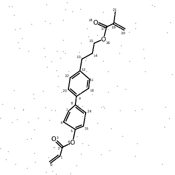 C=CC(=O)Oc1ccc(-c2ccc(CCCOC(=O)C(=C)C)cc2)cc1